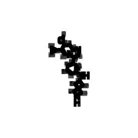 COc1cc2ncc(-c3cccc(NC4CC5(CNC5)C4)n3)n2cc1C1CC1